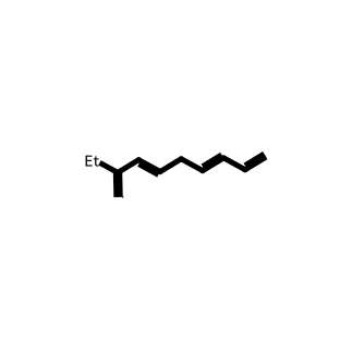 [CH]=C(/C=C/C/C=C/C=C)CC